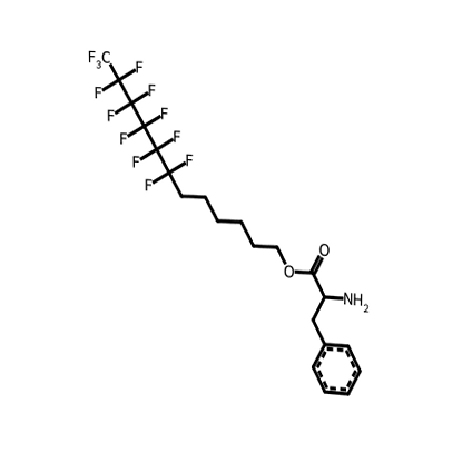 NC(Cc1ccccc1)C(=O)OCCCCCCC(F)(F)C(F)(F)C(F)(F)C(F)(F)C(F)(F)C(F)(F)F